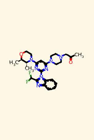 CC(=O)CN1CCN(c2cc(N3CCO[C@H](C)[C@H]3C)nc(-n3c(C(F)F)nc4ccccc43)n2)CC1